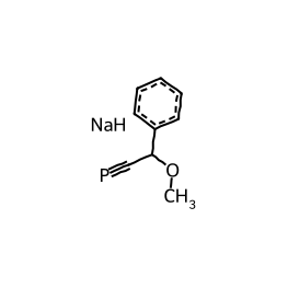 COC(C#P)c1ccccc1.[NaH]